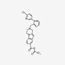 O=C(OC(=O)C(F)(F)F)c1ccc2c(c1)cc1n2CCN(Cc2cccnc2-c2ccc(Cl)nc2)C1